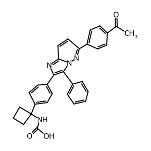 CC(=O)c1ccc(-c2ccc3nc(-c4ccc(C5(NC(=O)O)CCC5)cc4)c(-c4ccccc4)n3n2)cc1